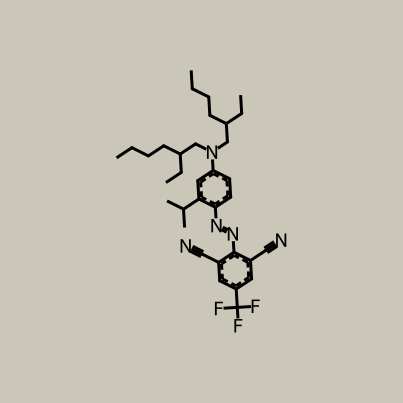 CCCCC(CC)CN(CC(CC)CCCC)c1ccc(N=Nc2c(C#N)cc(C(F)(F)F)cc2C#N)c(C(C)C)c1